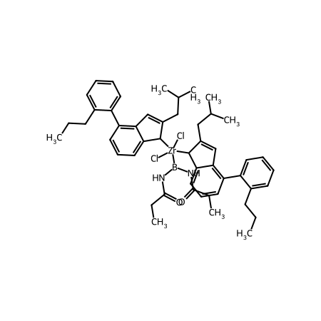 CCCc1ccccc1-c1cccc2c1C=C(CC(C)C)[CH]2[Zr]([Cl])([Cl])([B](NC(=O)CC)NC(=O)CC)[CH]1C(CC(C)C)=Cc2c(-c3ccccc3CCC)cccc21